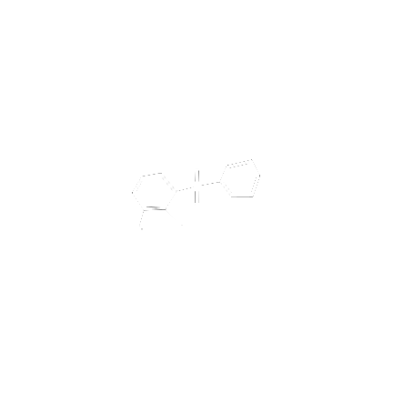 O=S(=O)(c1ccccc1)c1cccc(O)c1Br